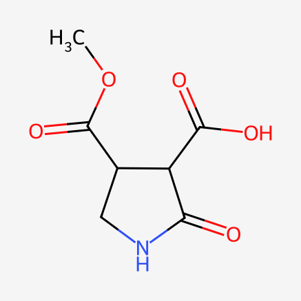 COC(=O)C1CNC(=O)C1C(=O)O